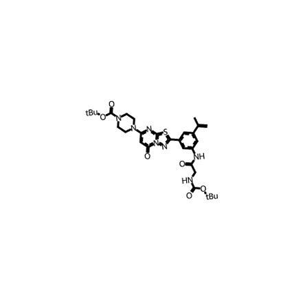 C=C(C)c1cc(NC(=O)CNC(=O)OC(C)(C)C)cc(-c2nn3c(=O)cc(N4CCN(C(=O)OC(C)(C)C)CC4)nc3s2)c1